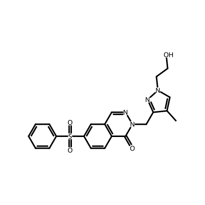 Cc1cn(CCO)nc1Cn1ncc2cc(S(=O)(=O)c3ccccc3)ccc2c1=O